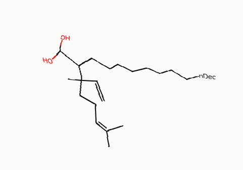 C=CC(C)(CCC=C(C)C)C(CCCCCCCCCCCCCCCCCC)C(O)O